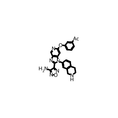 CC(=O)c1cccc(Oc2cc3c(cn2)nc(-c2nonc2N)n3-c2ccc3c(c2)CNCC3)c1